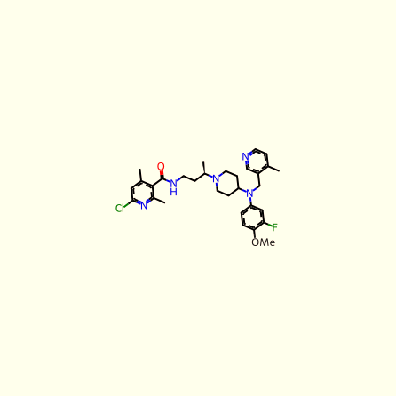 COc1ccc(N(Cc2cnccc2C)C2CCN([C@H](C)CCNC(=O)c3c(C)cc(Cl)nc3C)CC2)cc1F